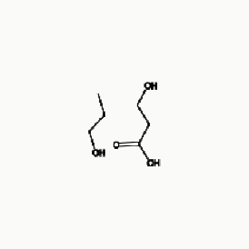 CCCO.O=C(O)CCO